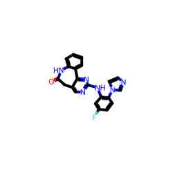 O=C1Cc2cnc(Nc3cc(F)ccc3-n3ccnc3)nc2-c2ccccc2N1